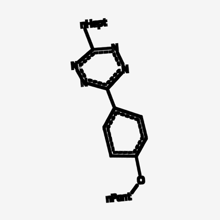 CCCCCCCc1nnc(-c2ccc(OCCCCC)cc2)nn1